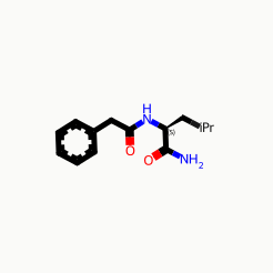 CC(C)C[C@H](NC(=O)Cc1ccccc1)C(N)=O